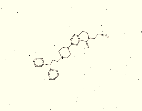 C=CCN1CCc2ccc(N3CCN(CCC(c4ccccc4)c4ccccc4)CC3)cc2C1=O